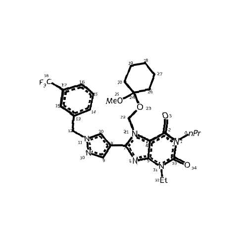 CCCn1c(=O)c2c(nc(-c3cnn(Cc4cccc(C(F)(F)F)c4)c3)n2COC2(OC)CCCCC2)n(CC)c1=O